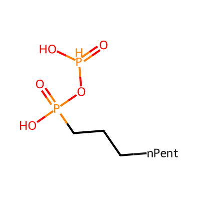 CCCCCCCCP(=O)(O)O[PH](=O)O